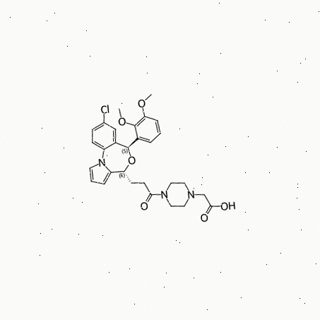 COc1cccc([C@H]2O[C@H](CCC(=O)N3CCN(CC(=O)O)CC3)c3cccn3-c3ccc(Cl)cc32)c1OC